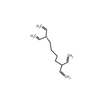 C=CC(C=C)CCCCN(C=C)C=C